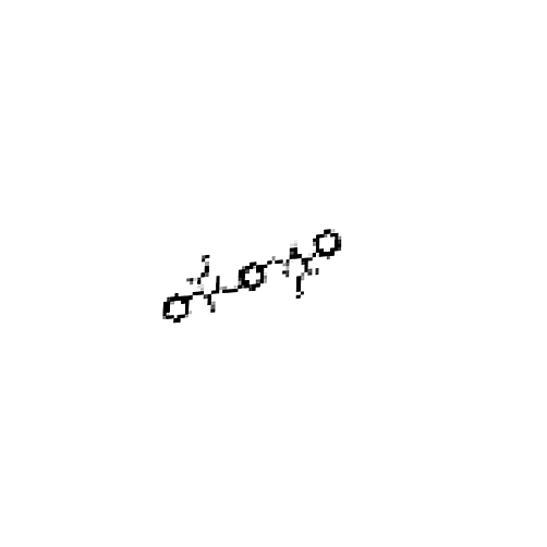 O=CN[C@H](C(=O)NCc1ccc(CNC(=O)[C@H](NC=O)c2ccccc2)cc1)c1ccccc1